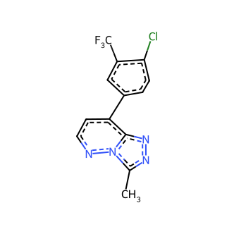 Cc1nnc2c(-c3ccc(Cl)c(C(F)(F)F)c3)ccnn12